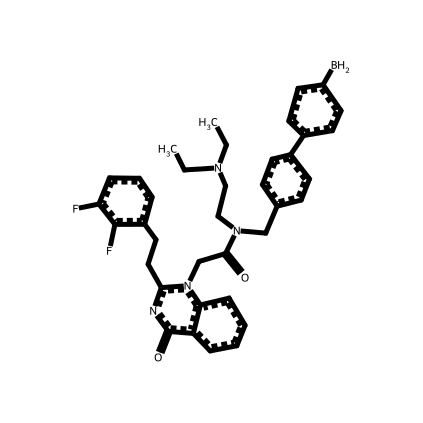 Bc1ccc(-c2ccc(CN(CCN(CC)CC)C(=O)Cn3c(CCc4cccc(F)c4F)nc(=O)c4ccccc43)cc2)cc1